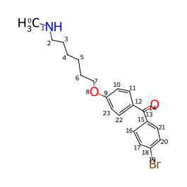 CNCCCCCCOc1ccc(C(=O)c2ccc(Br)cc2)cc1